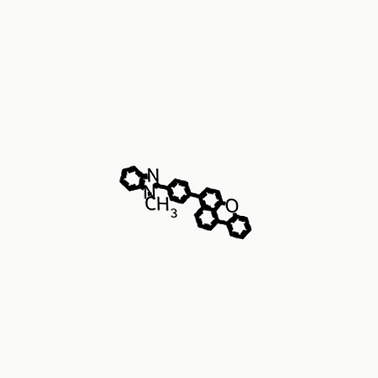 Cn1c(-c2ccc(-c3ccc4c5c(cccc35)-c3ccccc3O4)cc2)nc2ccccc21